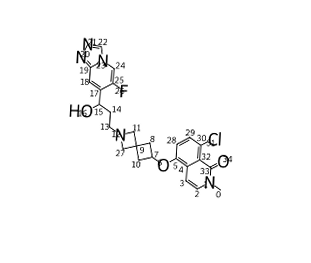 Cn1ccc2c(OC3CC4(C3)CN(CCC(O)c3cc5nncn5cc3F)C4)ccc(Cl)c2c1=O